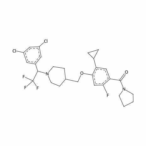 O=C(c1cc(C2CC2)c(OCC2CCN(C(c3cc(Cl)cc(Cl)c3)C(F)(F)F)CC2)cc1F)N1CCCC1